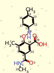 CNC(=O)c1cc(C)c(ONc2ccc(C)cc2)c(C(=O)O)c1